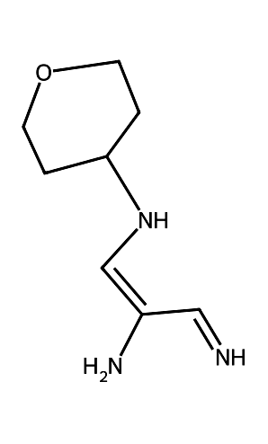 N=C/C(N)=C\NC1CCOCC1